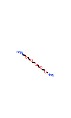 [N-]=[N+]=NCCOCCOCCOCCOCCOCN=[N+]=[N-]